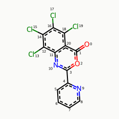 O=c1oc(-c2ccccn2)nc2c(Cl)c(Cl)c(Cl)c(Cl)c12